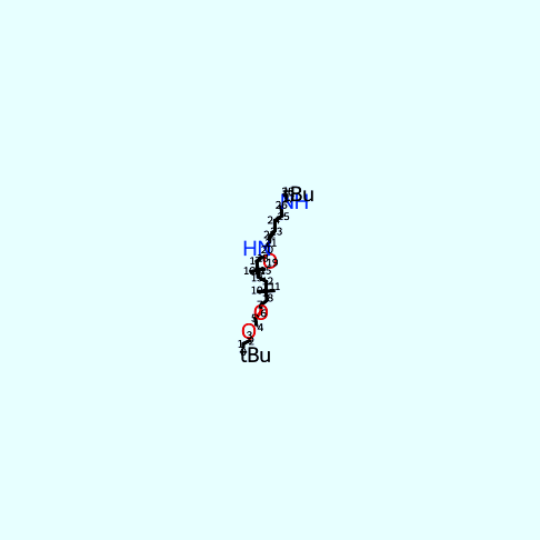 CC(C)(C)CCOCCOCCC(C)(C)CCC(C)(C)CC(=O)NCCCCCCNC(C)(C)C